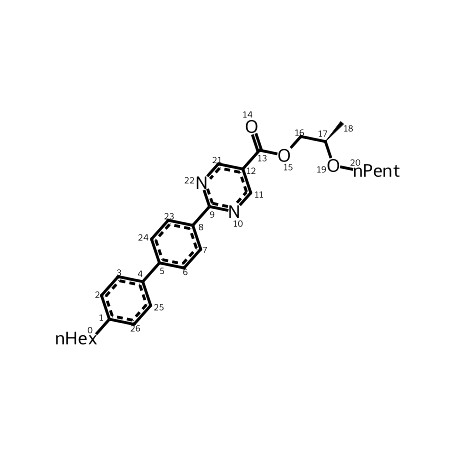 CCCCCCc1ccc(-c2ccc(-c3ncc(C(=O)OC[C@@H](C)OCCCCC)cn3)cc2)cc1